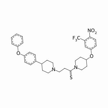 O=[N+]([O-])c1ccc(OC2CCN(C(=S)CCN3CCC(c4ccc(Oc5ccccc5)cc4)CC3)CC2)cc1C(F)(F)F